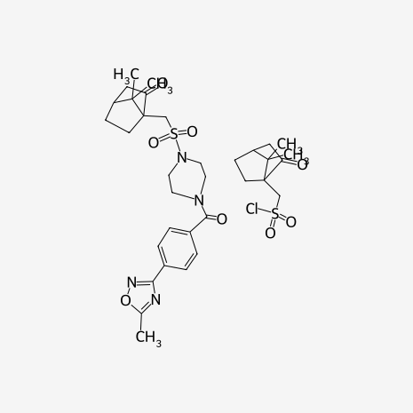 CC1(C)C2CCC1(CS(=O)(=O)Cl)C(=O)C2.Cc1nc(-c2ccc(C(=O)N3CCN(S(=O)(=O)CC45CCC(CC4=O)C5(C)C)CC3)cc2)no1